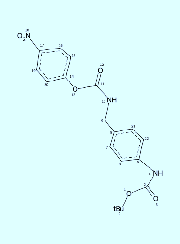 CC(C)(C)OC(=O)Nc1ccc(CNC(=O)Oc2ccc([N+](=O)[O-])cc2)cc1